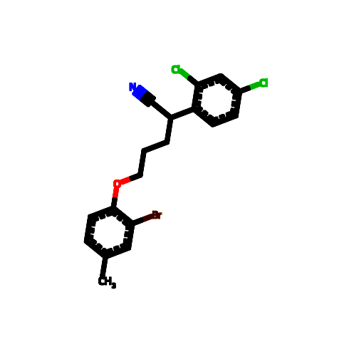 Cc1ccc(OCCCC(C#N)c2ccc(Cl)cc2Cl)c(Br)c1